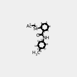 CC(=O)C[Se]c1ccccc1C(=O)Nc1ccc(C)cc1